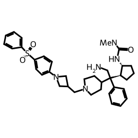 CNC(=O)N[C@@H]1CCC[C@H]1C(CN)(c1ccccc1)C1CCN(CC2CN(c3ccc(S(=O)(=O)c4ccccc4)cc3)C2)CC1